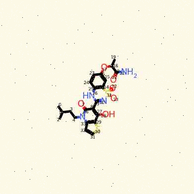 CC(C)CCn1c(=O)c(C2=NS(=O)(=O)c3cc(OC(C)C(N)=O)ccc3N2)c(O)c2sccc21